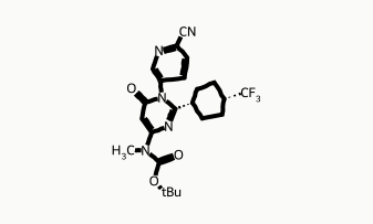 CN(C(=O)OC(C)(C)C)c1cc(=O)n(-c2ccc(C#N)nc2)c([C@H]2CC[C@@H](C(F)(F)F)CC2)n1